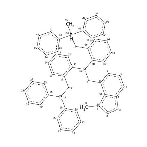 Cn1ccc2cccc(CP(c3ccccc3CP(c3ccccc3)c3ccccc3)c3ccccc3C[PH](C)(c3ccccc3)c3ccccc3)c21